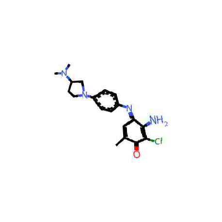 CC1=C/C(=N\c2ccc(N3CCC(N(C)C)C3)cc2)C(N)=C(Cl)C1=O